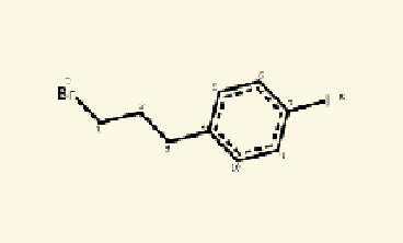 BrCCCc1ccc(I)cc1